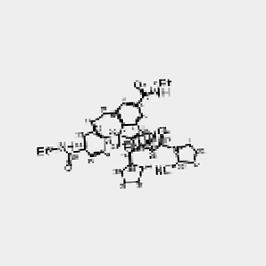 CCNC(=O)c1ccc2c(c1)CCc1cc(C(=O)NCC)ccc1C2(C[C@H](NCC(=O)N1CCC[C@H]1C#N)C1CCCC1)c1nnn[nH]1